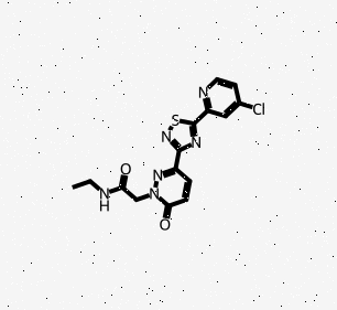 CCNC(=O)Cn1nc(-c2nsc(-c3cc(Cl)ccn3)n2)ccc1=O